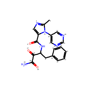 Cc1ncc(C(=O)NC(Cc2ccccc2)C(=O)C(N)=O)n1-c1cncnc1